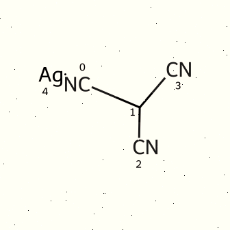 N#CC(C#N)C#N.[Ag]